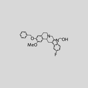 COc1cc2c(cc1OCc1ccccc1)CCN1Cc3c(c4cc(F)ccc4n3CO)CC21